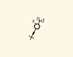 COC(=O)c1ccc(C#CC(C)(C)C)cc1F